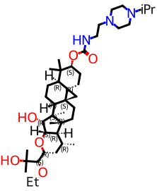 CCO[C@@H]([C@H]1C[C@@H](C)[C@H]2[C@H](O1)[C@H](O)[C@@]1(C)[C@@H]3CC[C@H]4C(C)(C)[C@@H](OC(=O)NCCN5CCN(C(C)C)CC5)CC[C@@]45C[C@@]35CC[C@]21C)C(C)(C)O